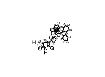 COC(OC)(OC(c1ccccc1)(c1ccccc1)c1ccccc1)[C@@H]1CC[C@H](n2cc(C)c(=O)[nH]c2=O)O1